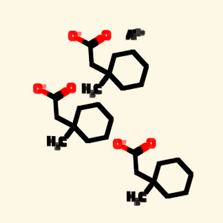 CC1(CC(=O)[O-])CCCCC1.CC1(CC(=O)[O-])CCCCC1.CC1(CC(=O)[O-])CCCCC1.[Al+3]